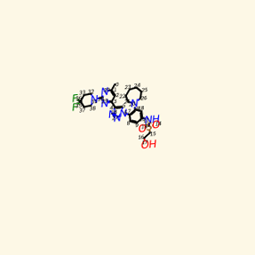 Cc1cc(-c2cn(-c3ccc(NS(=O)(=O)CCO)cc3N3CCCCCC3)nn2)nc(N2CCC(F)(F)CC2)n1